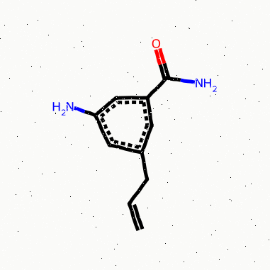 C=CCc1cc(N)cc(C(N)=O)c1